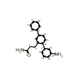 NC(=O)CCc1cc(-c2ccccc2)ccc1-c1cccc(N)c1